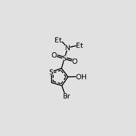 CCN(CC)S(=O)(=O)c1scc(Br)c1O